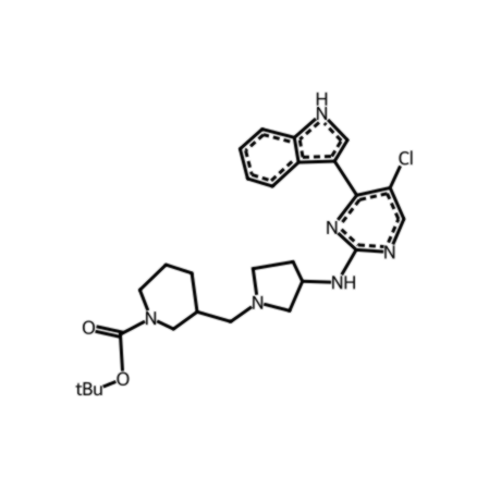 CC(C)(C)OC(=O)N1CCCC(CN2CCC(Nc3ncc(Cl)c(-c4c[nH]c5ccccc45)n3)C2)C1